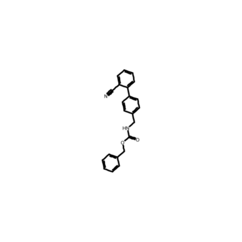 N#Cc1ccccc1-c1ccc(CNC(=O)OCc2ccccc2)cc1